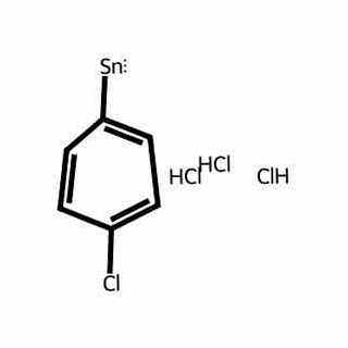 Cl.Cl.Cl.Clc1cc[c]([Sn])cc1